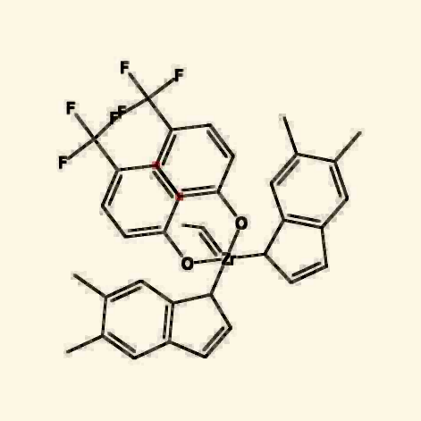 C[CH]=[Zr]([O]c1ccc(C(F)(F)F)cc1)([O]c1ccc(C(F)(F)F)cc1)([CH]1C=Cc2cc(C)c(C)cc21)[CH]1C=Cc2cc(C)c(C)cc21